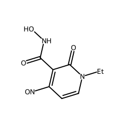 CCn1ccc(N=O)c(C(=O)NO)c1=O